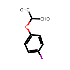 O=CC(C=O)Oc1ccc(I)cc1